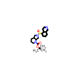 CC(C)(C)OC(=O)N1CCCC2CN([S+]([O-])c3cccc4cnccc34)CC21